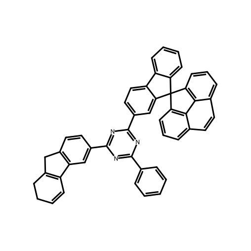 C1=CC2=C(CC1)Cc1ccc(-c3nc(-c4ccccc4)nc(-c4ccc5c(c4)C4(c6ccccc6-5)c5cccc6ccc7cccc4c7c56)n3)cc12